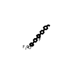 C=CC1CCC(C2CCC(c3ccc(C4=CCC(c5ccc(OC(F)(F)F)cc5)CC4)c(F)c3)CC2)CC1